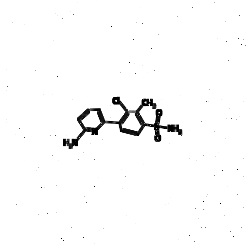 Cc1c(S(N)(=O)=O)ccc(-c2cccc(N)n2)c1Cl